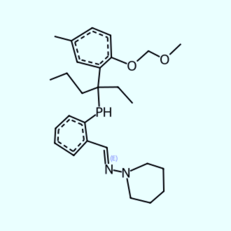 CCCC(CC)(Pc1ccccc1/C=N/N1CCCCC1)c1cc(C)ccc1OCOC